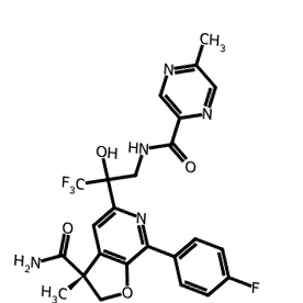 Cc1cnc(C(=O)NCC(O)(c2cc3c(c(-c4ccc(F)cc4)n2)OC[C@]3(C)C(N)=O)C(F)(F)F)cn1